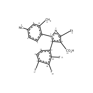 CCc1nn(-c2ccc(C#N)cc2C)c(-c2ccc(F)c(F)c2F)c1C(=O)O